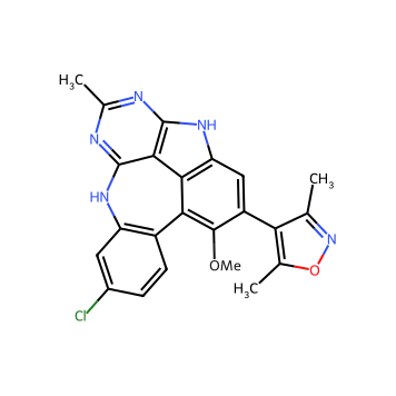 COc1c(-c2c(C)noc2C)cc2[nH]c3nc(C)nc4[nH]c5cc(Cl)ccc5c1c2c43